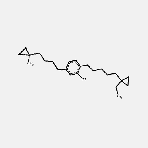 CCC1(CCCCCc2ccc(CCCCC3(C)CC3)cc2O)CC1